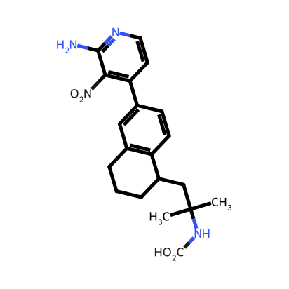 CC(C)(CC1CCCc2cc(-c3ccnc(N)c3[N+](=O)[O-])ccc21)NC(=O)O